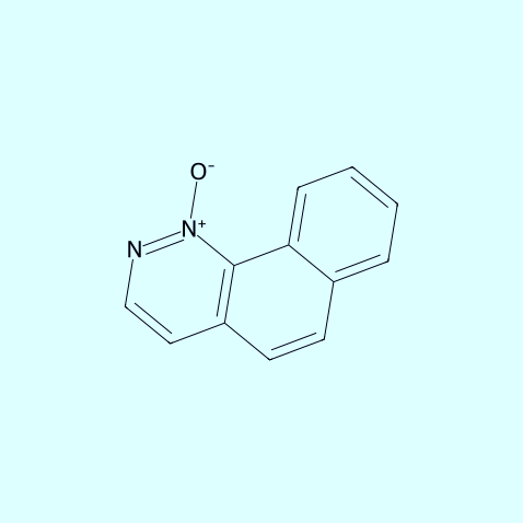 [O-][n+]1nccc2ccc3ccccc3c21